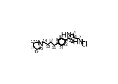 ClNCC1=CNC(c2ccc(CCCCN3CCCCC3)cc2)S1